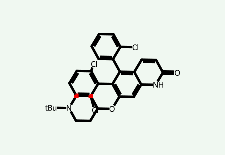 CC(C)(C)N1CCC(Oc2cc3[nH]c(=O)ccc3c(-c3ccccc3Cl)c2-c2c(Cl)cccc2Cl)CC1